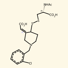 CC(=O)N[C@@H](CSSC1CCN(Cc2ccccc2Cl)C/C1=C/C(=O)O)C(=O)O